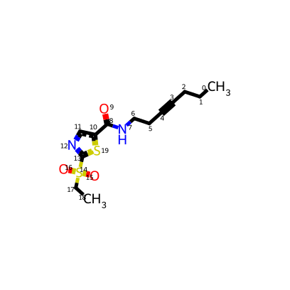 CCCC#CCCNC(=O)c1cnc(S(=O)(=O)CC)s1